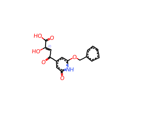 O=C(O)/C(O)=C/C(=O)c1cc(OCc2ccccc2)[nH]c(=O)c1